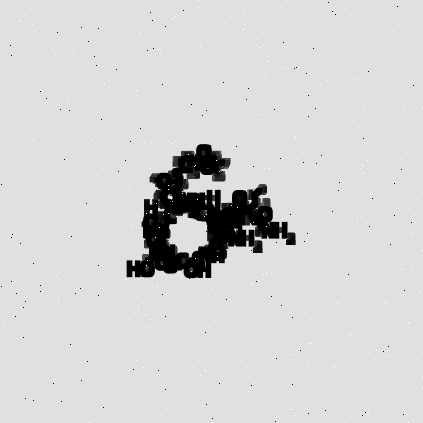 CC[C@H](C)[C@H](NC(=O)CN)C(=O)NCC(=O)N[C@H]1C[S+]([O-])c2[nH]c3c(CSC4CCN(C(=O)OC(C)(C)C)C4)c(OC)ccc3c2C[C@@H](CO)NC(=O)[C@H]([C@@H](C)[C@@H](O)CO)NC(=O)C[C@@H](O)CNC(=O)[C@H](CC(N)=O)NC1=O